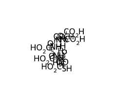 O=C(O)CC[C@H](NC(=O)N[C@@H](CCC(=O)N[C@@H](CCC(=O)N[C@@H](CC(=O)O)C(=O)N[C@@H](Cc1ccccc1)C(=O)N[C@@H](CS)C(=O)O)C(=O)O)C(=O)O)C(=O)O